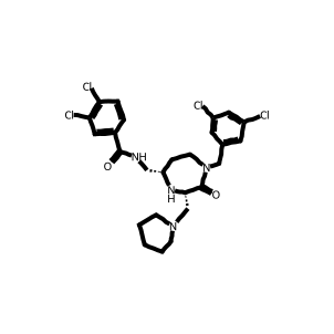 O=C(NC[C@@H]1CCN(Cc2cc(Cl)cc(Cl)c2)C(=O)[C@H](CN2CCCCC2)N1)c1ccc(Cl)c(Cl)c1